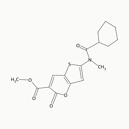 COC(=O)c1cc2sc(N(C)C(=O)C3CCCCC3)cc2oc1=O